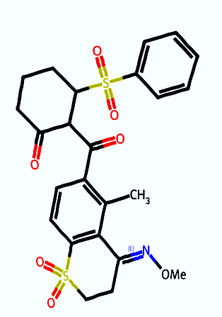 CO/N=C1\CCS(=O)(=O)c2ccc(C(=O)C3C(=O)CCCC3S(=O)(=O)c3ccccc3)c(C)c21